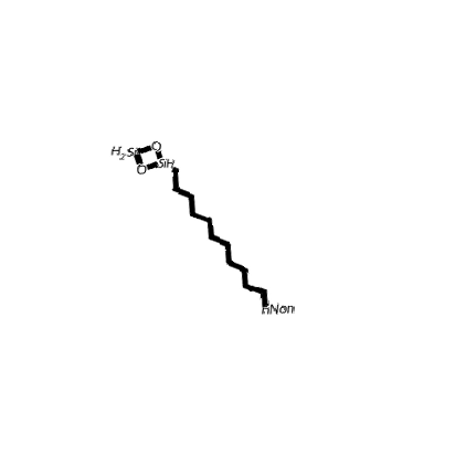 CCCCCCCCCCCCCCCCCCCC[SiH]1O[SiH2]O1